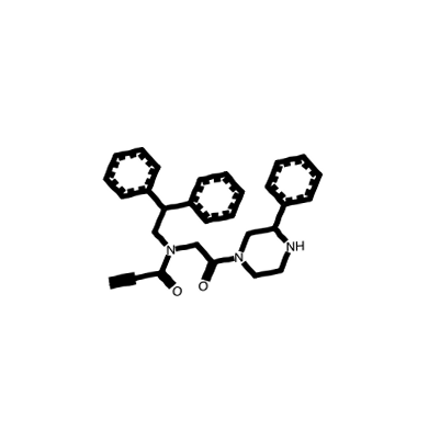 C#CC(=O)N(CC(=O)N1CCNC(c2ccccc2)C1)CC(c1ccccc1)c1ccccc1